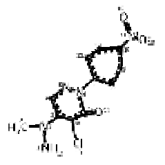 CN(N)c1cnn(-c2ccc([N+](=O)[O-])cc2)c(=O)c1Cl